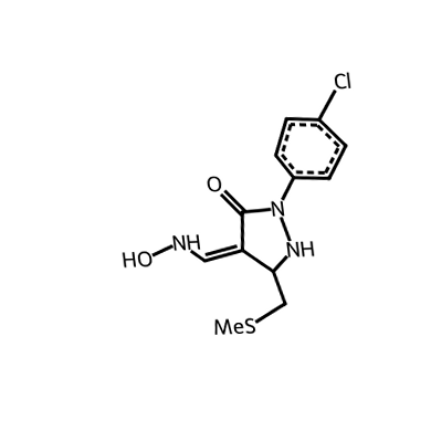 CSCC1NN(c2ccc(Cl)cc2)C(=O)C1=CNO